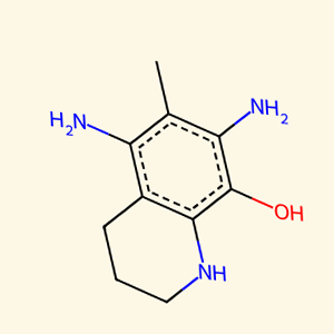 Cc1c(N)c(O)c2c(c1N)CCCN2